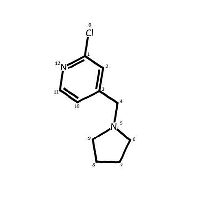 Clc1cc(CN2CCCC2)ccn1